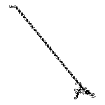 COCCOCCOCCOCCOCCOCCOCCOCCOCCOCCOCCOCCOCCOCCOCCOCCOCCOCCOCCOCCOCCOCCOCCOCCC(=O)NCCCC[C@H](NC(=O)[C@@H](NC(=O)CCCS)C(C)C)C(=O)Nc1ccc(COC(=O)C(C)C)cc1